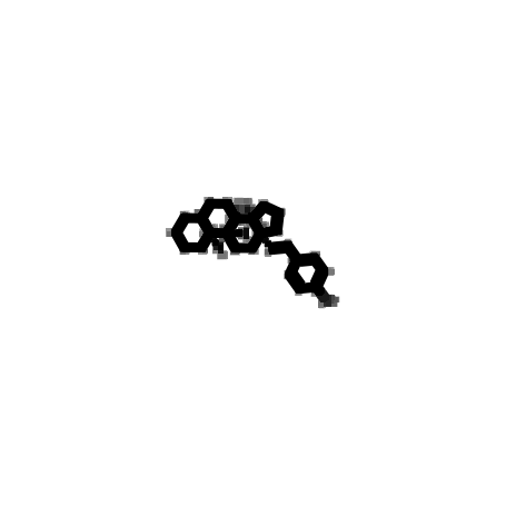 CC(C)c1ccc(C=C[C@@]23C=CC[C@H]2[C@@H]2CCC4CCCC[C@@H]4[C@H]2CC3)cc1